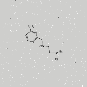 CCN(CC)CCNCc1nccc(C)n1